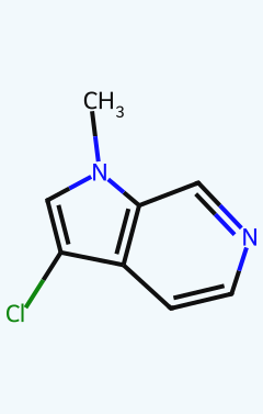 Cn1cc(Cl)c2ccncc21